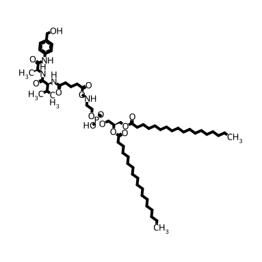 CCCCCCCCCCCCCCCCCC(=O)OC[C@H](COP(=O)(O)OCCNOC(=O)CCCC(=O)N[C@H](C(=O)N[C@@H](C)C(=O)Nc1ccc(CO)cc1)C(C)C)OC(=O)CCCCCCCCCCCCCCCCC